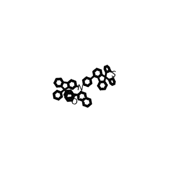 c1ccc(C2(c3ccccc3)c3ccccc3-c3ccc(N(c4ccc(-c5cccc6c5-c5ccccc5C65c6ccccc6Sc6ccccc65)cc4)c4cc5ccccc5c5oc6ccccc6c45)cc32)cc1